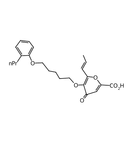 CC=Cc1oc(C(=O)O)cc(=O)c1OCCCCCOc1ccccc1CCC